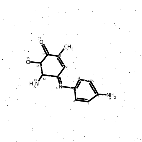 CC1=CC(=Nc2ccc(N)cc2)C(N)C(Cl)C1=O